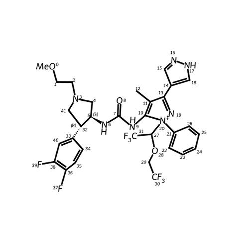 COCCN1C[C@@H](NC(=O)NC2=C(C)C(c3cn[nH]c3)=N[N+]2(c2ccccc2)C(OCC(F)(F)F)C(F)(F)F)[C@H](c2ccc(F)c(F)c2)C1